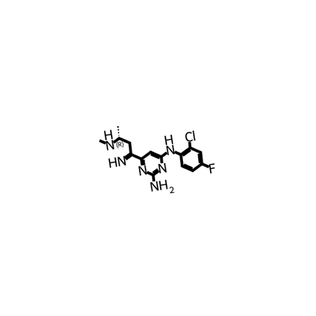 CN[C@H](C)CC(=N)c1cc(Nc2ccc(F)cc2Cl)nc(N)n1